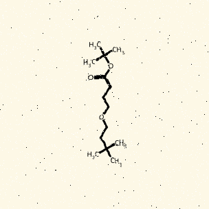 CC(C)(C)CCOCCCC(=O)OC(C)(C)C